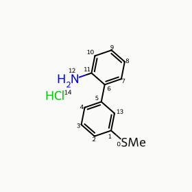 CSc1cccc(-c2ccccc2N)c1.Cl